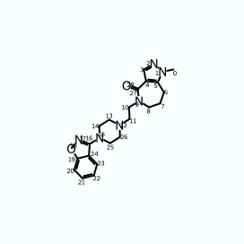 Cn1ncc2c1CCCN(CCN1CCN(c3noc4ccccc34)CC1)C2=O